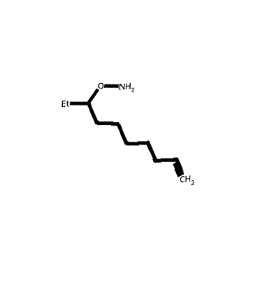 C=CCCCCCC(CC)ON